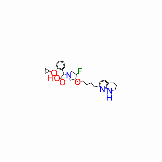 O=C(O)C(c1ccccc1OC1CC1)N1CC(F)C(OCCCCc2ccc3c(n2)NCCC3)C1